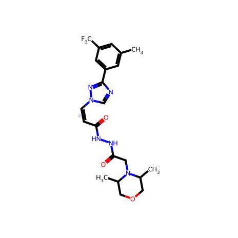 Cc1cc(-c2ncn(/C=C\C(=O)NNC(=O)CN3C(C)COCC3C)n2)cc(C(F)(F)F)c1